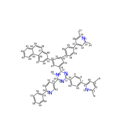 Cc1cc(C)nc(-c2ccc(C3=NC(c4cc(-c5ccc(-c6cc(C)nc(C)c6)cc5)cc(-c5ccc6c(ccc7ccccc76)c5)c4)N(C)C(c4ccc(-c5ccccc5)nc4)=N3)cc2)c1